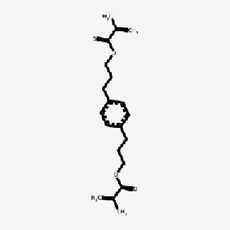 C=C(C)C(=O)OCCCc1ccc(CCCOC(=O)C(=C)C)cc1